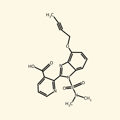 CC#CCOc1cccc2c1nc(-c1ncccc1C(=O)O)n2S(=O)(=O)N(C)C